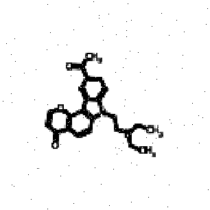 CCN(CC)CCn1c2ccc(C(C)=O)cc2c2c3occc(=O)c3ccc21